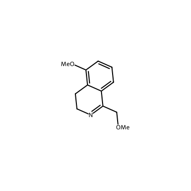 COCC1=NCCc2c(OC)cccc21